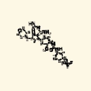 COc1cc(-c2cc(CN3CCOCC3)[nH]c2/C(N)=N\C=N)ccc1NC(=O)Nc1cccc(OC(F)(F)F)c1